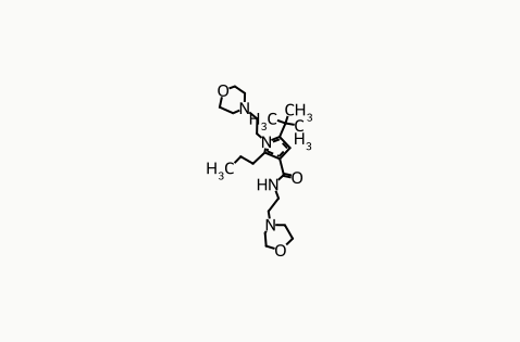 CCCc1c(C(=O)NCCN2CCOCC2)cc(C(C)(C)C)n1CCN1CCOCC1